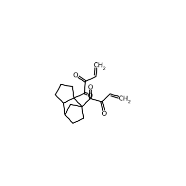 C=CC(=O)C(=O)C12CCC(C1)C1CCCC12C(=O)C(=O)C=C